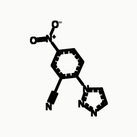 N#Cc1cc([N+](=O)[O-])ccc1-n1ccnn1